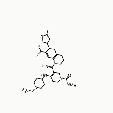 CNC(=O)N1CCC(NC2CCN(CC(F)(F)F)CC2)=C(C(=N)N2CCCC3=C2C=C(C(F)F)C(C2C=NN(C)C2)C3)C1